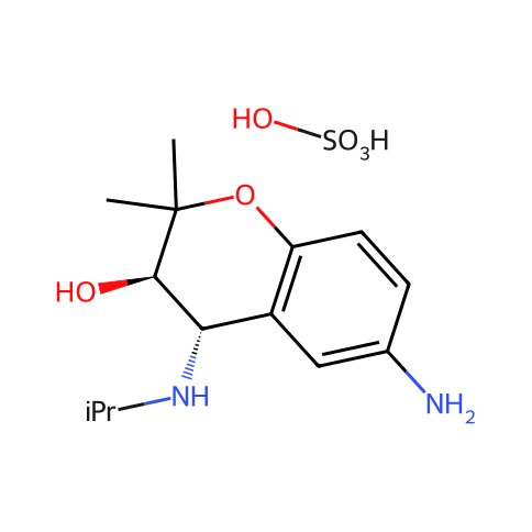 CC(C)N[C@H]1c2cc(N)ccc2OC(C)(C)[C@@H]1O.O=S(=O)(O)O